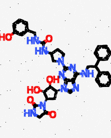 O=C(NCc1cccc(O)c1)NC1CCN(c2nc(NCC(c3ccccc3)c3ccccc3)c3ncn([C@@H]4C[C@H](N5C(=O)CNC5=O)[C@@H](O)[C@H]4O)c3n2)C1